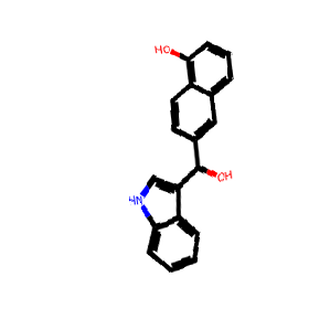 Oc1cccc2cc(C(O)c3c[nH]c4ccccc34)ccc12